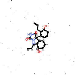 C=CCc1c(O)cccc1C1(c2cccc(O)c2CC=C)NC(=O)NC1=O